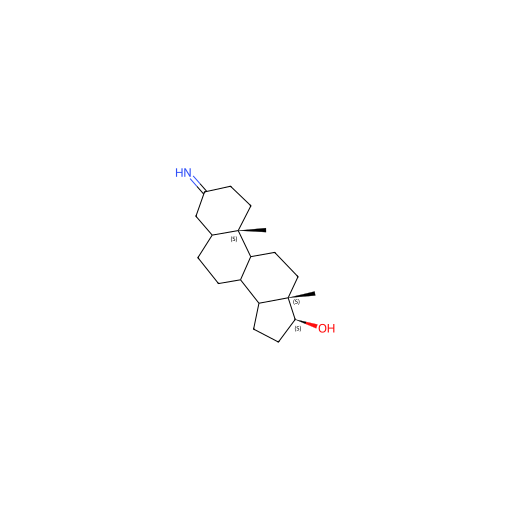 C[C@]12CCC(=N)CC1CCC1C2CC[C@@]2(C)C1CC[C@@H]2O